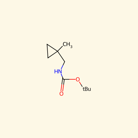 CC1(CNC(=O)OC(C)(C)C)CC1